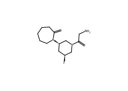 C=C(CN)N1C[C@@H](F)C[C@@H](N2CCCCCC2=C)C1